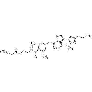 C#CCNCCCNC(=O)c1c(C)cc(Cc2nccn3c(-c4cn(CCC)nc4C(F)(F)F)cnc23)cc1C